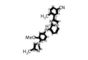 COc1cc(Nc2cccn3cc(-c4cc(C#N)ccc4C)nc23)ccc1-n1cnc(C)c1